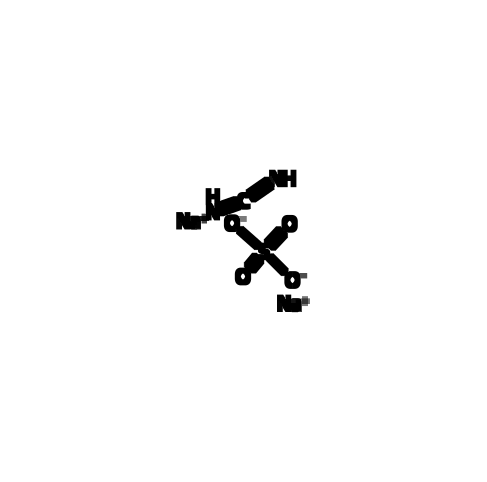 N=C=N.O=S(=O)([O-])[O-].[Na+].[Na+]